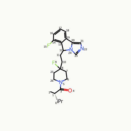 CC(C)[C@H](C)C(=O)N1CCC(F)(CCC2c3c(F)cccc3-c3cncn32)CC1